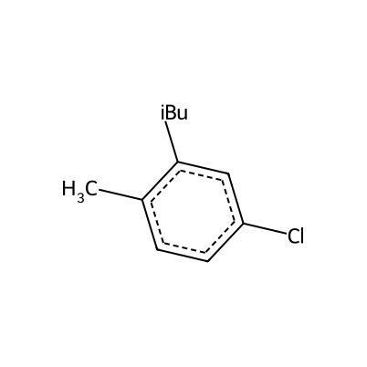 CCC(C)c1cc(Cl)ccc1C